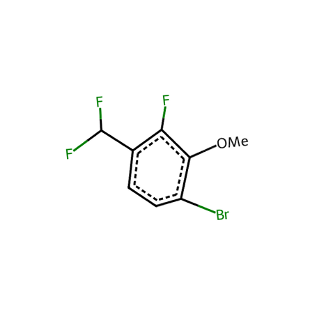 COc1c(Br)ccc(C(F)F)c1F